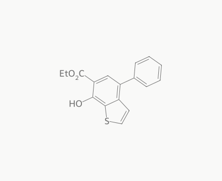 CCOC(=O)c1cc(-c2ccccc2)c2ccsc2c1O